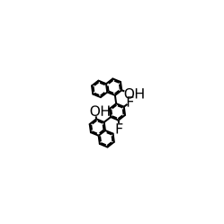 Oc1ccc2ccccc2c1-c1cc(-c2c(O)ccc3ccccc23)c(F)cc1F